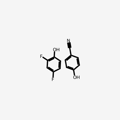 N#Cc1ccc(O)cc1.Oc1ccc(F)cc1F